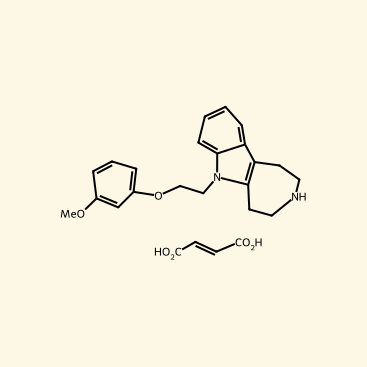 COc1cccc(OCCn2c3c(c4ccccc42)CCNCC3)c1.O=C(O)C=CC(=O)O